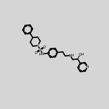 O=S(=O)(Nc1ccc(CCNC[C@@H](O)c2cccnc2)cc1)N1CCC(c2ccccc2)CC1